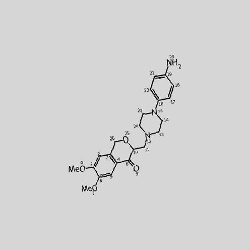 COc1cc2c(cc1OC)C(=O)C(CN1CCN(c3ccc(N)cc3)CC1)OC2